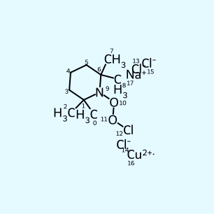 CC1(C)CCCC(C)(C)N1OOCl.[Cl-].[Cl-].[Cl-].[Cu+2].[Na+]